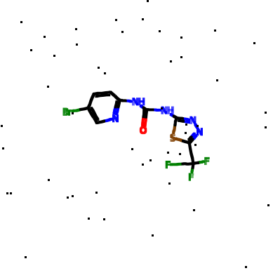 O=C(Nc1ccc(Br)cn1)Nc1nnc(C(F)(F)F)s1